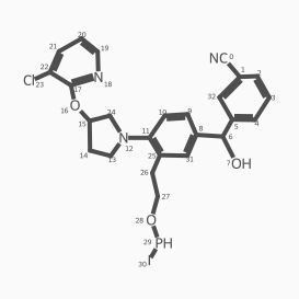 N#Cc1cccc(C(O)c2ccc(N3CCC(Oc4ncccc4Cl)C3)c(CCOPI)c2)c1